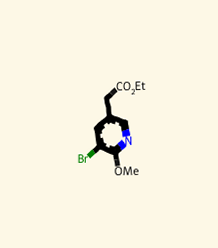 CCOC(=O)Cc1cnc(OC)c(Br)c1